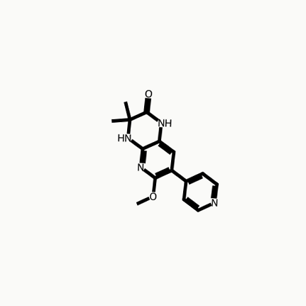 COc1nc2c(cc1-c1ccncc1)NC(=O)C(C)(C)N2